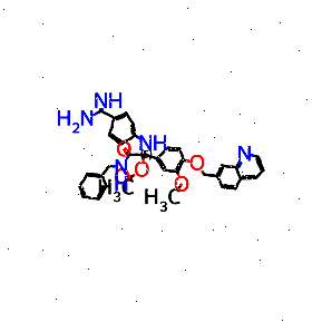 COc1cc([C@](Nc2ccc(C(=N)N)cc2)(OC(C)=O)C(=O)NCc2ccccc2)ccc1OCc1ccc2cccnc2c1